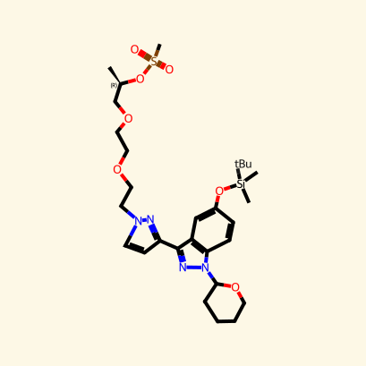 C[C@H](COCCOCCn1ccc(-c2nn(C3CCCCO3)c3ccc(O[Si](C)(C)C(C)(C)C)cc23)n1)OS(C)(=O)=O